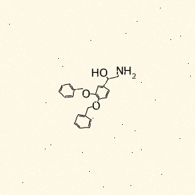 NC[C@H](O)c1ccc(OCc2ccccc2)c(OCc2ccccc2)c1